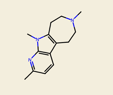 Cc1ccc2c3c(n(C)c2n1)CCN(C)CC3